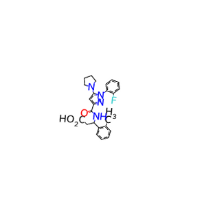 Cc1ccccc1C(CC(=O)O)NC(=O)c1cc(N2CCCC2)n(-c2ccccc2F)n1